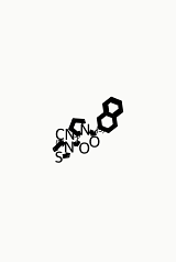 N#C[C@@H]1CSCN1C(=O)[C@@H]1CCCN1C(=O)[C@H]1CCc2ccccc2C1